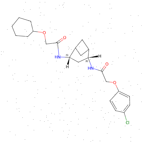 O=C(COC1CCCCC1)N[C@H]1C[C@@H](NC(=O)COc2ccc(Cl)cc2)C2CC1C2